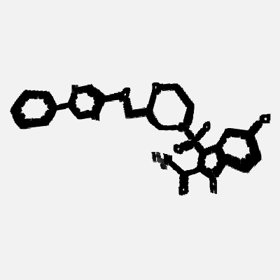 NC(=O)c1[nH]c2ccc(Cl)cc2c1S(=O)(=O)N1CCOC(COc2cnc(-c3ccccc3)cn2)C1